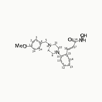 COc1ccc(CN2CCN(c3ccccc3/C=C/C(=O)NO)CC2)cc1